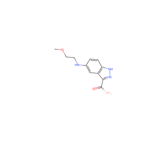 BC(=O)c1n[nH]c2ccc(NCCOC)cc12